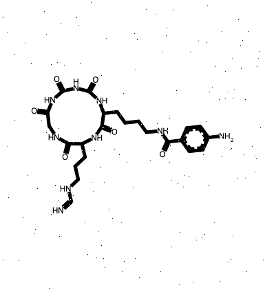 N=CNCCCC1NC(=O)C(CCCCNC(=O)c2ccc(N)cc2)NC(=O)NC(=O)NC(=O)CNC1=O